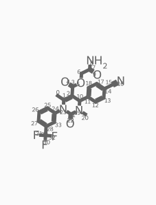 CC1=C(C(=O)OCC(N)=O)C(c2ccc(C#N)cc2)N(C)C(=O)N1c1cccc(C(F)(F)F)c1